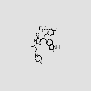 CN1CCN(CCN(C)C2=NC(=O)C(=C(Cc3ccc(Cl)cc3C(F)(F)F)c3ccc4[nH]ncc4c3)S2)CC1